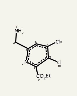 CCOC(=O)c1nc(CN)cc(Cl)c1Cl